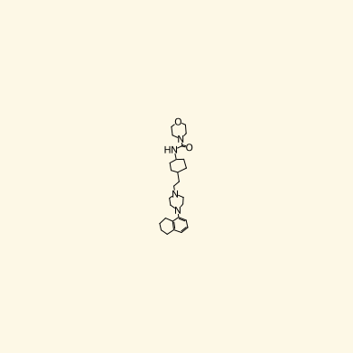 O=C(NC1CCC(CCN2CCN(c3cccc4c3CCCC4)CC2)CC1)N1CCOCC1